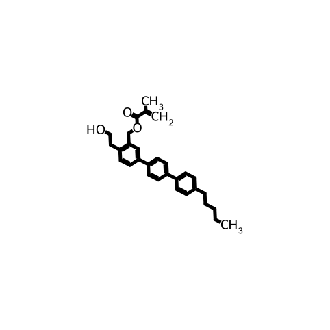 C=C(C)C(=O)OCc1cc(-c2ccc(-c3ccc(CCCCC)cc3)cc2)ccc1CCO